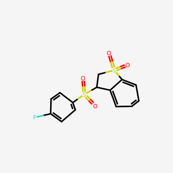 O=S1(=O)CC(S(=O)(=O)c2ccc(F)cc2)c2ccccc21